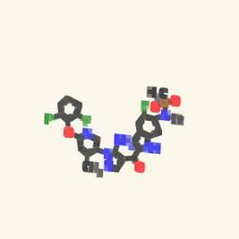 CCN(c1cc2[nH]c(C(=O)c3cnn(-c4cnc(Oc5c(F)cccc5F)cc4C)c3N)cc2cc1F)S(C)(=O)=O